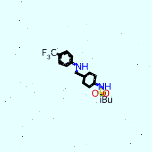 CCC(C)S(=O)(=O)NC1CCC(CNc2ccc(C(F)(F)F)cc2)CC1